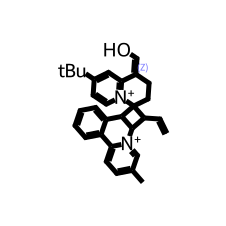 C=CC1C2C(c3ccccc3-c3ccc(C)c[n+]32)C12CC/C(=C/O)c1cc(C(C)(C)C)cc[n+]12